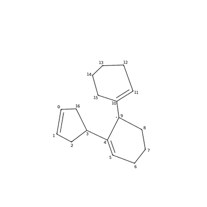 C1=CCC(C2=CCCC[C]2C2=CCCCC2)C1